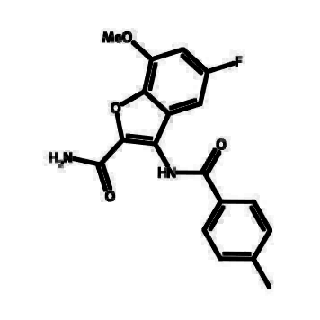 COc1cc(F)cc2c(NC(=O)c3ccc(C)cc3)c(C(N)=O)oc12